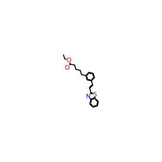 CCOC(=O)CCCCc1cccc(/C=C/c2nc3ccccc3s2)c1